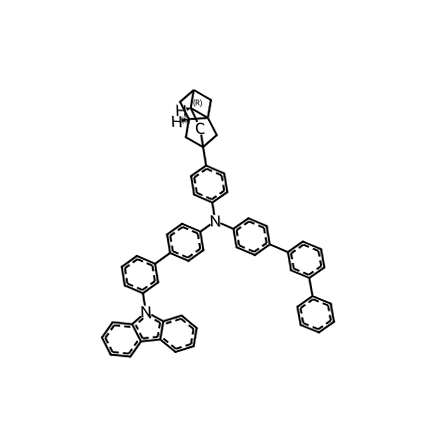 c1ccc(-c2cccc(-c3ccc(N(c4ccc(-c5cccc(-n6c7ccccc7c7ccccc76)c5)cc4)c4ccc(C56C[C@@H]7CC8CC7(C5)[C@@H]8C6)cc4)cc3)c2)cc1